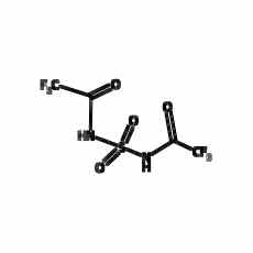 O=C(NS(=O)(=O)NC(=O)C(F)(F)F)C(F)(F)F